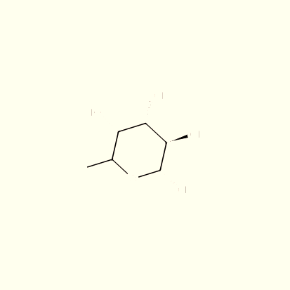 C[C@@H]1OC(I)[C@H](O)[C@H](O)[C@H]1O